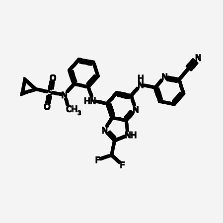 CN(c1ccccc1Nc1cc(Nc2cccc(C#N)n2)nc2[nH]c(C(F)F)nc12)S(=O)(=O)C1CC1